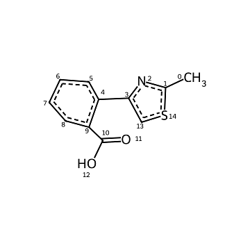 Cc1nc(-c2ccccc2C(=O)O)cs1